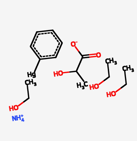 CC(O)C(=O)[O-].CCO.CCO.CCO.[Hg][c]1ccccc1.[NH4+]